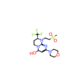 CS(=O)(=O)CCN1C2=NC(N3CCOCC3)=CC(O)N2CC[C@H]1C(F)(F)F